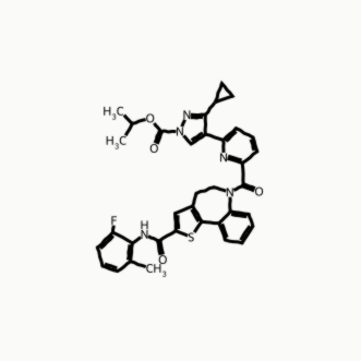 Cc1cccc(F)c1NC(=O)c1cc2c(s1)-c1ccccc1N(C(=O)c1cccc(-c3cn(C(=O)OC(C)C)nc3C3CC3)n1)CC2